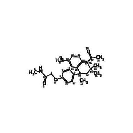 CNC(=O)COc1ccc(C2(C)CC(C)(C)N(C(C)=O)c3ccc(N)cc32)cc1